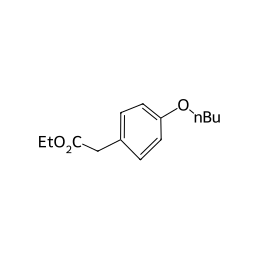 CCCCOc1ccc(CC(=O)OCC)cc1